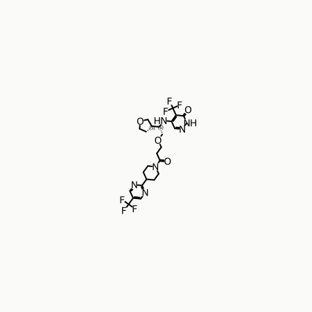 O=C(CCOC[C@@H](Nc1cn[nH]c(=O)c1C(F)(F)F)[C@@H]1CCOC1)N1CCC(c2ncc(C(F)(F)F)cn2)CC1